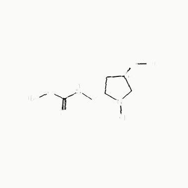 CN1C[C@H](OC(C)(C)C)C[C@H]1CNC(=O)OC(C)(C)C